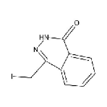 O=c1[nH]nc(CI)c2ccccc12